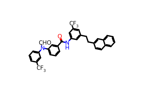 O=CN(c1cccc(C(=O)Nc2cc(CCc3ccc4ccccc4c3)cc(C(F)(F)F)c2)c1)c1cccc(C(F)(F)F)c1